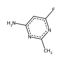 Cc1nc(N)cc(F)n1